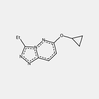 CCc1nnc2ccc(OC3CC3)nn12